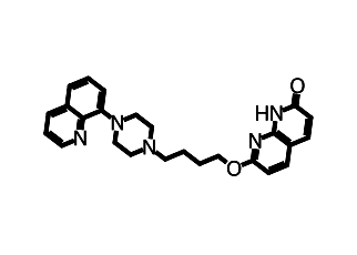 O=c1ccc2ccc(OCCCCN3CCN(c4cccc5cccnc45)CC3)nc2[nH]1